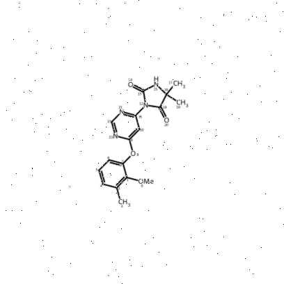 COc1c(C)cccc1Oc1cc(N2C(=O)NC(C)(C)C2=O)ncn1